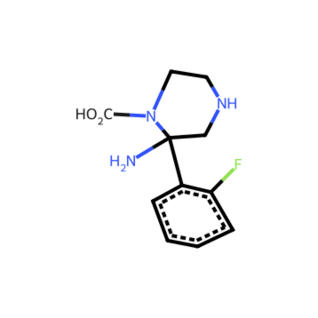 NC1(c2ccccc2F)CNCCN1C(=O)O